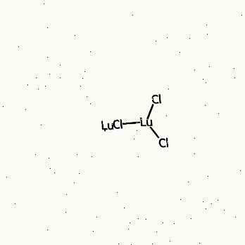 [Cl][Lu]([Cl])[Cl].[Lu]